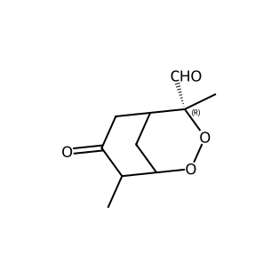 CC1C(=O)CC2CC1OO[C@@]2(C)C=O